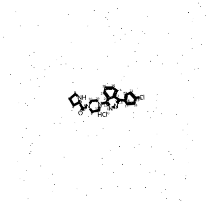 Cl.O=C(C1CCCN1)N1CCN(c2nnc(-c3ccc(Cl)cc3)c3ccccc23)CC1